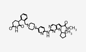 CN(C)C(=O)c1cc2cnc(Nc3ccc(N4CCN(Cc5ccccc5C5CCC(=O)NC5=O)CC4)cn3)nc2n1C1CCCC1